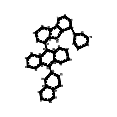 c1ccc(-c2cccc3c2sc2c(-c4c5ccccc5c(-c5ccc6ccccc6c5)c5ccccc45)cccc23)cc1